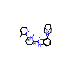 Cc1cccnc1[C@@H]1CCC[C@H](c2nc3cccc(N4CC5CCC(C4)N5C)c3[nH]2)N1C